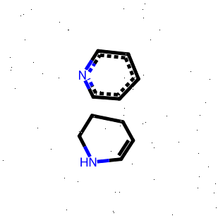 C1=CNCCC1.c1ccncc1